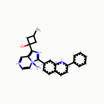 CC1CC(O)(C2=C3C=NC=C[N+]3(N)C(c3ccc4ccc(-c5ccccc5)nc4c3)=N2)C1